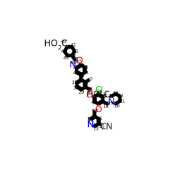 Cc1c(COc2cc(OCc3cncc(C#N)c3)c(CN3CCCCC3C(=O)O)cc2Cl)cccc1-c1ccc2oc(C3CCC(C(=O)O)CC3)nc2c1